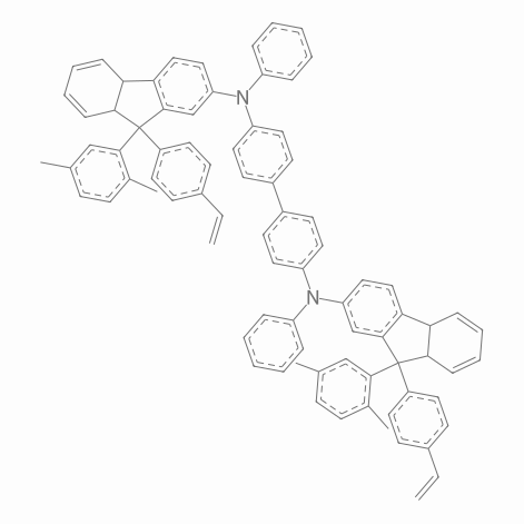 C=Cc1ccc(C2(c3cc(C)ccc3C)c3cc(N(c4ccccc4)c4ccc(-c5ccc(N(c6ccccc6)c6ccc7c(c6)C(c6ccc(C=C)cc6)(c6cc(C)ccc6C)C6C=CC=CC76)cc5)cc4)ccc3C3C=CC=CC32)cc1